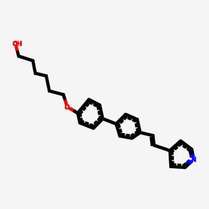 OCCCCCCOc1ccc(-c2ccc(C=Cc3ccncc3)cc2)cc1